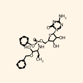 C=C[C@H](NP(=O)(OC[C@H]1S[C@@H](n2cnc(N)nc2=O)C(O)[C@H]1O)Oc1ccccc1)C(O)OCc1ccccc1